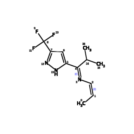 C/C=C\N=C(\c1cc(C(F)(F)F)n[nH]1)C(C)C